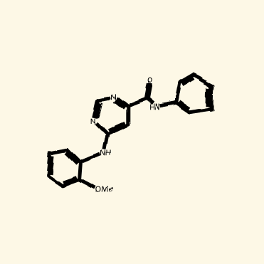 COc1ccccc1Nc1cc(C(=O)Nc2ccccc2)ncn1